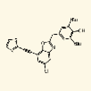 CC(C)(C)c1cc(Cc2nc3cc(Cl)cc(C#Cc4nccs4)c3o2)cc(C(C)(C)C)c1O